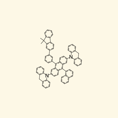 CC1(C)c2ccccc2-c2ccc(-c3cccc(-c4c5cc(N6c7ccccc7Cc7ccccc76)ccc5c(-c5cccc6ccccc56)c5cc(N6c7ccccc7Cc7ccccc76)ccc45)c3)cc21